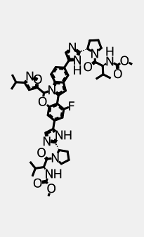 COC(=O)N[C@H](C(=O)N1CCC[C@H]1c1ncc(-c2cc(F)c3c(c2)OC(c2cc(C(C)C)no2)n2c-3cc3cc(-c4cnc([C@@H]5CCCN5C(=O)[C@@H](NC(=O)OC)C(C)C)[nH]4)ccc32)[nH]1)C(C)C